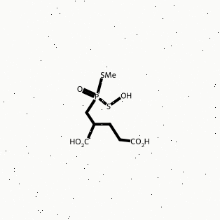 CSP(=O)(CC(CCC(=O)O)C(=O)O)SO